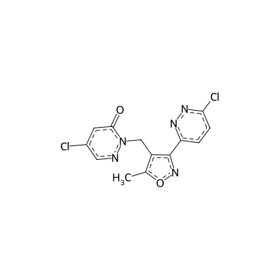 Cc1onc(-c2ccc(Cl)nn2)c1Cn1ncc(Cl)cc1=O